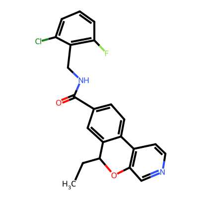 CCC1Oc2cnccc2-c2ccc(C(=O)NCc3c(F)cccc3Cl)cc21